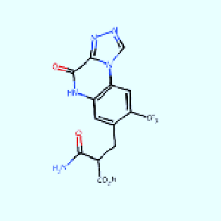 NC(=O)C(Cc1cc2[nH]c(=O)c3nncn3c2cc1C(F)(F)F)C(=O)O